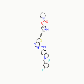 O=C(O[C@H]1CN[C@H](C#Cc2cc3ncnc(Nc4ccc5c(ccn5Cc5cc(F)ccc5F)c4)c3s2)C1)N1CCCCC1